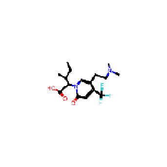 CCC(C)C(C(=O)O)n1cc(CCN(C)C)c(C(F)(F)F)cc1=O